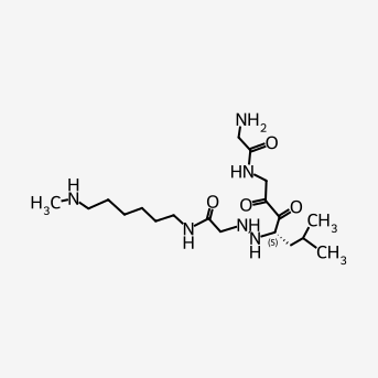 CNCCCCCCNC(=O)CNN[C@@H](CC(C)C)C(=O)C(=O)CNC(=O)CN